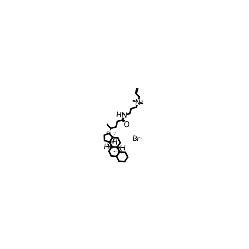 C=CC[N+](C)(C)CCCNC(=O)CCC(C)[C@H]1CC[C@H]2[C@@H]3CCC4CCCC[C@]4(C)[C@H]3CC[C@]12C.[Br-]